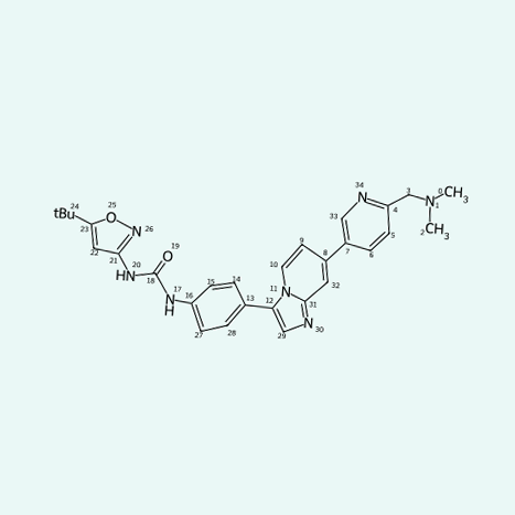 CN(C)Cc1ccc(-c2ccn3c(-c4ccc(NC(=O)Nc5cc(C(C)(C)C)on5)cc4)cnc3c2)cn1